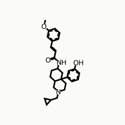 COc1cccc(/C=C/C(=O)NC2CCC3CN(CC4CC4)CCC3(c3cccc(O)c3)C2)c1